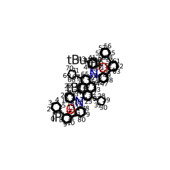 CC(C)c1ccccc1-c1cccc2c1oc1c(N(c3cccc(C(C)(C)C)c3)c3cc(C4CCCC4)c4ccc5c(N(c6cccc(C(C)(C)C)c6)c6cccc7c6oc6c(-c8ccccc8C(C)C)cccc67)cc(C6CCCC6)c6ccc3c4c65)cccc12